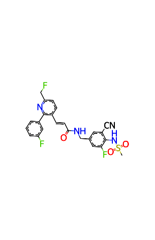 CS(=O)(=O)Nc1c(F)cc(CNC(=O)/C=C/c2ccc(CF)nc2-c2cccc(F)c2)cc1C#N